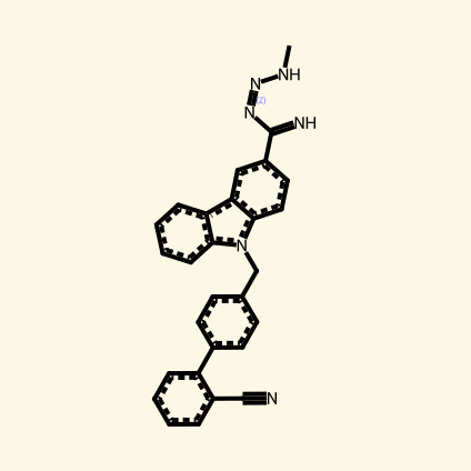 CN/N=N\C(=N)c1ccc2c(c1)c1ccccc1n2Cc1ccc(-c2ccccc2C#N)cc1